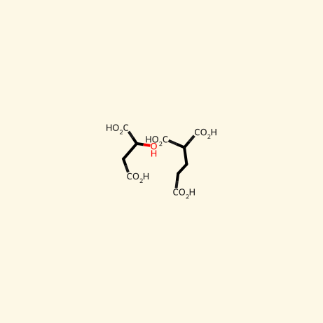 O=C(O)CC(O)C(=O)O.O=C(O)CCC(C(=O)O)C(=O)O